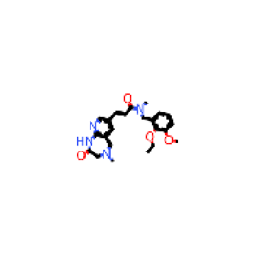 CCOc1c(CN(C)C(=O)C=Cc2cnc3c(c2)CN(C)CC(=O)N3)cccc1OC